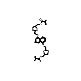 C=C(C)C(=O)SCC1CSC(CSc2cccc3c(SCC4SCC(CSC(=O)C(=C)C)S4)cccc23)S1